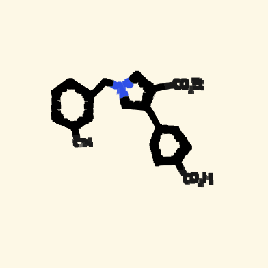 CCOC(=O)c1cn(Cc2cccc(C#N)c2)cc1-c1ccc(C(=O)O)cc1